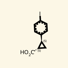 O=C(O)[C@H]1C[C@@H]1c1ccc(I)cc1